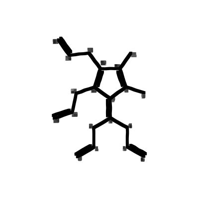 C=CCC(CC=C)=C1C(C)=C(C)C(CC=C)=C1CC=C